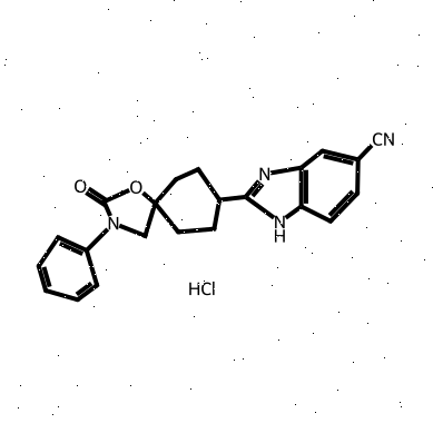 Cl.N#Cc1ccc2[nH]c(C3CCC4(CC3)CN(c3ccccc3)C(=O)O4)nc2c1